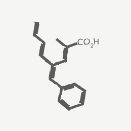 C=CC=CC(=Cc1ccccc1)C=C(C)C(=O)O